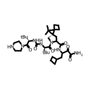 CC(C)(C)[C@H](NC(=O)N[C@@H](C(=O)N1C[C@]2(CC1C(=O)NC(CC1CCC1)C(=O)C(N)=O)C(C)(C)C21CCC1)C(C)(C)C)C(=O)N1CCNCC1